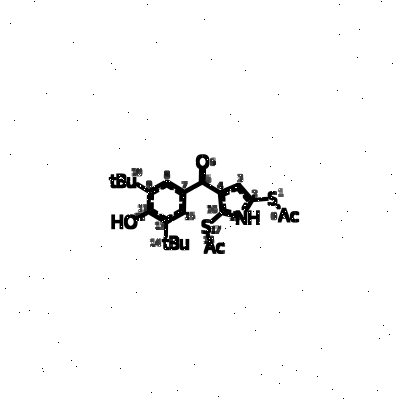 CC(=O)Sc1cc(C(=O)c2cc(C(C)(C)C)c(O)c(C(C)(C)C)c2)c(SC(C)=O)[nH]1